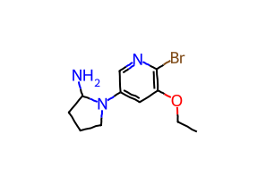 CCOc1cc(N2CCCC2N)cnc1Br